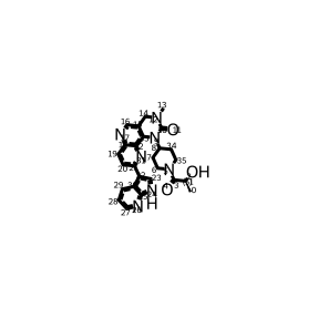 C[C@H](O)C(=O)N1CCC(N2C(=O)N(C)Cc3cnc4ccc(-c5c[nH]c6ncccc56)nc4c32)CC1